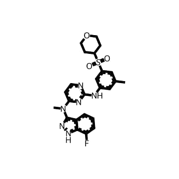 Cc1cc(Nc2nccc(N(C)c3n[nH]c4c(F)cccc34)n2)cc(S(=O)(=O)C2CCOCC2)c1